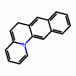 [C]1=C2C=CC=CN2c2cc3ccccc3cc2C1